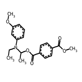 CCN(c1cccc(OC)c1)C(C)OC(=O)c1ccc(C(=O)OC)cc1